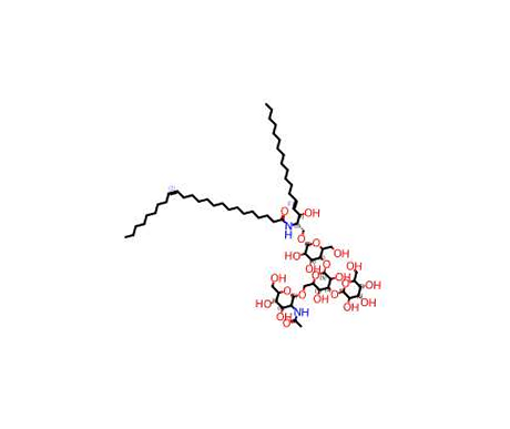 CCCCCCCC/C=C\CCCCCCCCCCCCCC(=O)N[C@@H](CO[C@@H]1OC(CO)[C@@H](O[C@@H]2OC(CO[C@@H]3OC(CO)[C@@H](O)[C@H](O)C3NC(C)=O)[C@H](O)[C@H](O[C@H]3OC(CO)[C@H](O)[C@H](O)C3O)C2O)[C@H](O)C1O)[C@H](O)/C=C/CCCCCCCCCCCCC